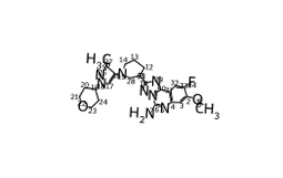 COc1cc2nc(N)n3nc([C@@H]4CCCN(c5cn(C6CCOCC6)nc5C)C4)nc3c2cc1F